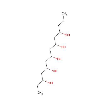 CCCC(O)CC(O)CC(O)CC(O)CC(O)CC